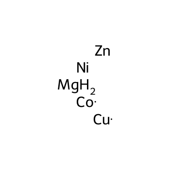 [Co].[Cu].[MgH2].[Ni].[Zn]